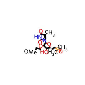 COCCO[C@@H]1[C@H](O)[C@@H](CCP(C)(C)=O)O[C@H]1n1cc(C)c(=O)[nH]c1=O